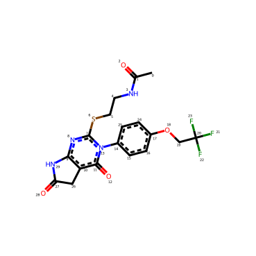 CC(=O)NCCSc1nc2c(c(=O)n1-c1ccc(OCC(F)(F)F)cc1)CC(=O)N2